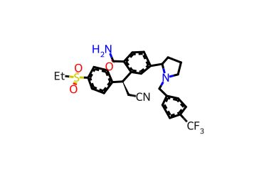 CCS(=O)(=O)c1ccc([C@H](CC#N)c2cc(C3CCCN3Cc3ccc(C(F)(F)F)cc3)ccc2C(N)=O)cc1